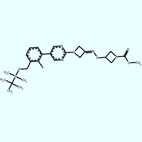 COC(=O)N1CC(ON=C2CN(c3ncc(-c4cccc(CO[Si](C)(C)C(C)(C)C)c4F)cn3)C2)C1